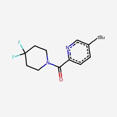 CC(C)(C)c1ccc(C(=O)N2CCC(F)(F)CC2)nc1